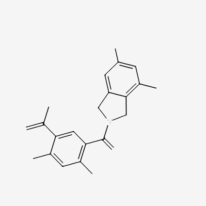 C=C(C)c1cc(C(=O)N2Cc3cc(O)cc(C)c3C2)c(C)cc1C